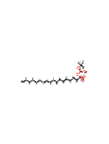 CCCCCCCCCCCCCCCCCC1(OC(=O)OC(C)(C)C)OO1